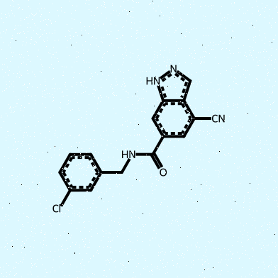 N#Cc1cc(C(=O)NCc2cccc(Cl)c2)cc2[nH]ncc12